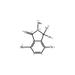 [2H]c1ccc(C(C)(C)C)c2c1C([2H])([2H])N(C(C)(C)C)C2=O